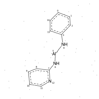 c1ccc([NH][Al][NH]c2ccccn2)cc1